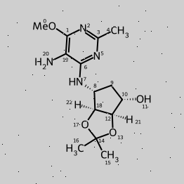 COc1nc(C)nc(N[C@@H]2C[C@H](O)[C@H]3OC(C)(C)O[C@H]32)c1N